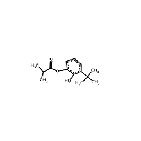 CC(C)C(=O)Oc1cccc(C(C)(C)C)c1O